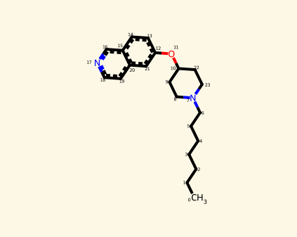 CCCCCCCN1CCC(Oc2ccc3cnccc3c2)CC1